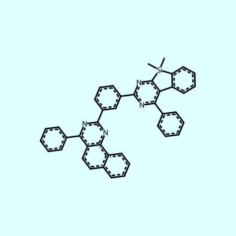 C[Si]1(C)c2ccccc2-c2c(-c3ccccc3)nc(-c3cccc(-c4nc(-c5ccccc5)c5ccc6ccccc6c5n4)c3)nc21